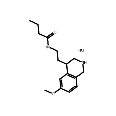 CCCC(=O)NCCC1CNCc2ccc(OC)cc21.Cl